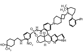 CC(C)c1ccccc1[C@@H]1CCCC(C)(C)N1C1CC2(CCN(c3ccc(C(=O)NS(=O)(=O)c4ccc(NCC5CCC(C)(O)CC5)c([N+](=O)[O-])c4)c(N4c5cc6cc[nH]c6nc5O[C@H]5COCC[C@@H]54)c3)CC2)C1